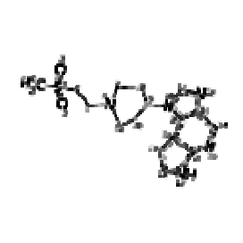 CS(=O)(=O)CCN1CCC(n2cnc3cnc4[nH]ccc4c32)CC1